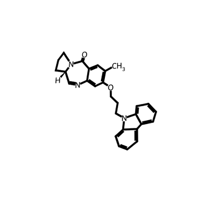 Cc1cc2c(cc1OCCCn1c3ccccc3c3ccccc31)N=C[C@@H]1CCCN1C2=O